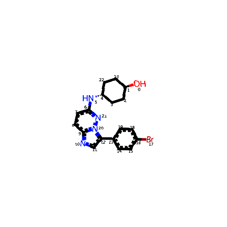 O[C@H]1CC[C@H](Nc2ccc3ncc(-c4ccc(Br)cc4)n3n2)CC1